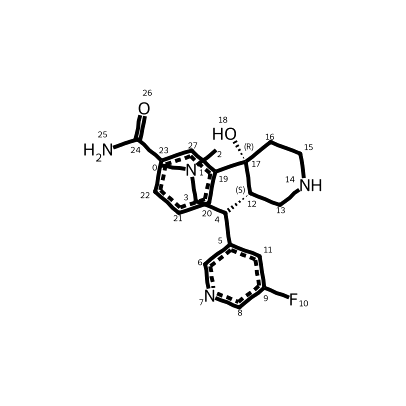 CN(C)CC(c1cncc(F)c1)[C@H]1CNCC[C@]1(O)c1cccc(C(N)=O)c1